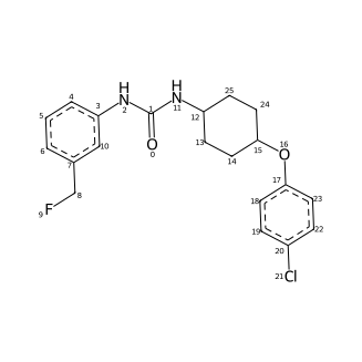 O=C(Nc1cccc(CF)c1)NC1CCC(Oc2ccc(Cl)cc2)CC1